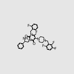 Cc1c(N2CCN(Cc3c(F)ccc(F)c3F)CC2)c(=O)n(CC(N)c2ccccc2)c(=O)n1Cc1c(F)cccc1F